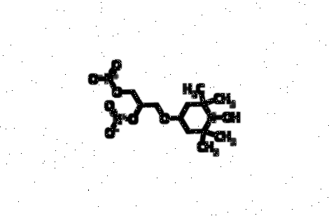 CC1(C)CC(OCC(CO[N+](=O)[O-])O[N+](=O)[O-])CC(C)(C)N1O